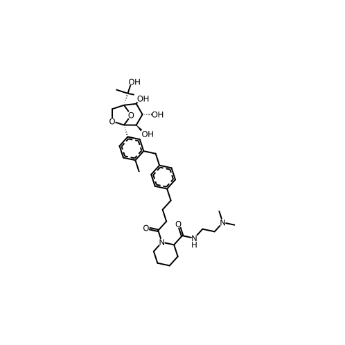 Cc1ccc([C@]23OC[C@](C(C)(C)O)(O2)[C@@H](O)[C@H](O)[C@H]3O)cc1Cc1ccc(CCCC(=O)N2CCCCC2C(=O)NCCN(C)C)cc1